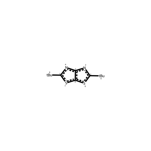 CC(C)(C)c1nc2nc(C(C)(C)C)sc2s1